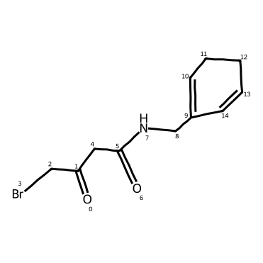 O=C(CBr)CC(=O)NCC1=CCCC=C1